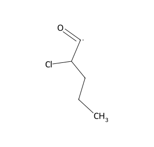 CCCC(Cl)[C]=O